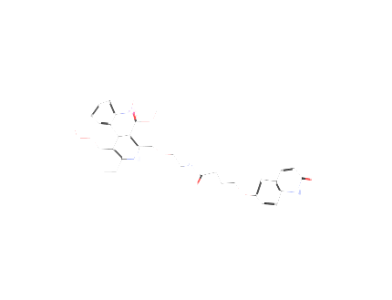 CCC1=C(COOC)C(c2ccccc2[N+](=O)[O-])C(C(=O)OC)=C(COCCNC(=O)CCCOc2ccc3[nH]c(=O)ccc3c2)N1